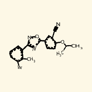 Cc1c(Br)cccc1-c1noc(-c2ccc(OC(C)C)c(C#N)c2)n1